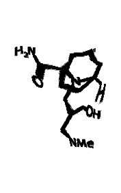 CNCC(O)CN1[C@@H]2C[CH]C[C@@]1(C(N)=O)CC2